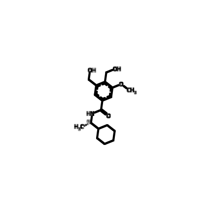 COc1cc(C(=O)N[C@@H](C)C2CCCCC2)cc(CO)c1CO